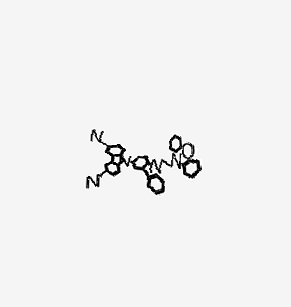 N#Cc1ccc2c(c1)c1cc(C#N)ccc1n2-c1ccc2c(c1)c1ccccc1n2CCN1c2ccccc2Oc2ccccc21